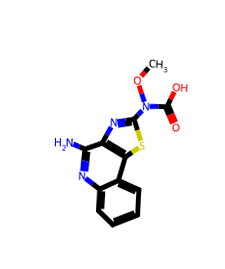 CON(C(=O)O)c1nc2c(N)nc3ccccc3c2s1